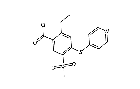 CCc1cc(Sc2ccncc2)c(S(C)(=O)=O)cc1C(=O)Cl